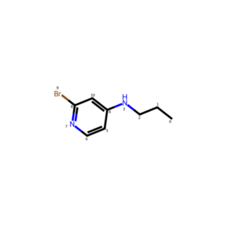 CCCNc1ccnc(Br)c1